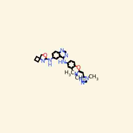 C=N/C(=C\c1nncn1C)Oc1ccc(Nc2ncnc3ccc(NC4=NC5(CCC5)CO4)cc23)cc1C